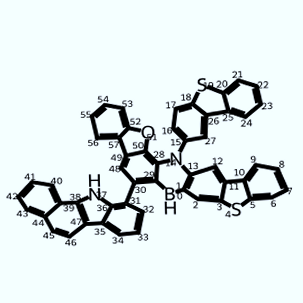 B1c2cc3sc4ccccc4c3cc2N(c2ccc3sc4ccccc4c3c2)c2c1c(-c1cccc3c1[nH]c1c4ccccc4ccc31)cc1c2oc2ccccc21